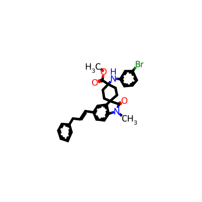 COC(=O)C1(Nc2cccc(Br)c2)CCC2(CC1)C(=O)N(C)c1ccc(/C=C/Cc3ccccc3)cc12